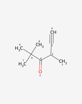 C#CC(C)C(=O)C(C)(C)C